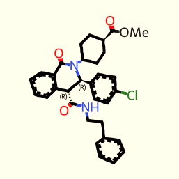 COC(=O)[C@H]1CC[C@@H](N2C(=O)c3ccccc3[C@@H](C(=O)NCCc3ccccc3)[C@@H]2c2ccc(Cl)cc2)CC1